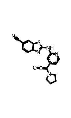 N#CC1=CC2SC(Nc3cc(C(=C=O)N4CCCC4)ccn3)=NC2C=C1